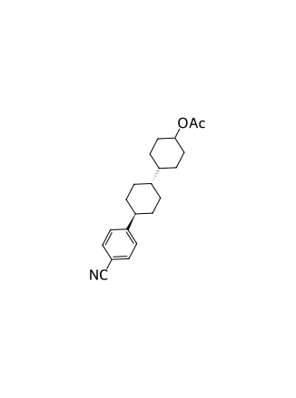 CC(=O)OC1CCC([C@H]2CC[C@H](c3ccc(C#N)cc3)CC2)CC1